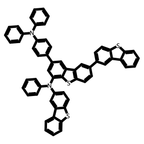 c1ccc(N(c2ccccc2)c2ccc(-c3cc(N(c4ccccc4)c4ccc5sc6ccccc6c5c4)c4sc5ccc(-c6ccc7sc8ccccc8c7c6)cc5c4c3)cc2)cc1